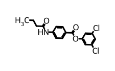 CCCC(=O)Nc1ccc(C(=O)Oc2cc(Cl)cc(Cl)c2)cc1